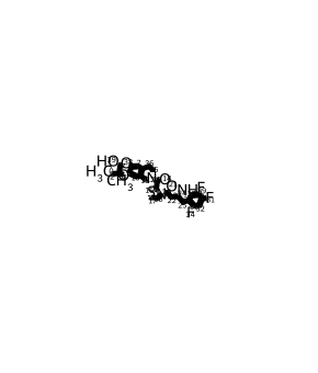 CC(C)C(Oc1ccc2c(c1)CN(C(=O)C1SCCN1C(=O)CC(N)Cc1cc(F)c(F)cc1F)CC2)C(=O)O